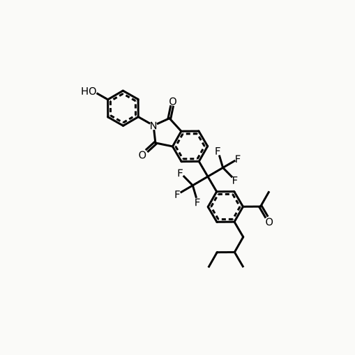 CCC(C)Cc1ccc(C(c2ccc3c(c2)C(=O)N(c2ccc(O)cc2)C3=O)(C(F)(F)F)C(F)(F)F)cc1C(C)=O